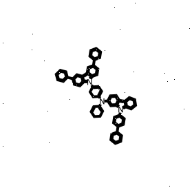 C1=CC(N(C2=CC=C(n3c4ccc(-c5ccccc5)cc4c4cc(-c5ccccc5)ccc43)CC2)c2ccc3c4ccccc4n(-c4ccc(-c5ccccc5)cc4)c3c2)=CCC1